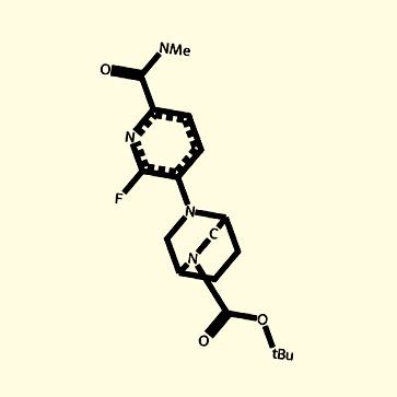 CNC(=O)c1ccc(N2CC3CCC2CN3C(=O)OC(C)(C)C)c(F)n1